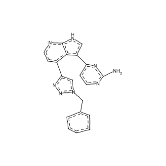 Nc1nccc(-c2c[nH]c3nccc(-c4cn(Cc5ccccc5)nn4)c23)n1